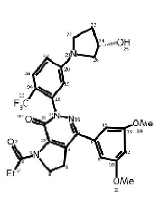 CCC(=O)N1CCc2c(-c3cc(OC)cc(OC)c3)nn(-c3cc(N4CC[C@H](O)C4)ccc3C(F)(F)F)c(=O)c21